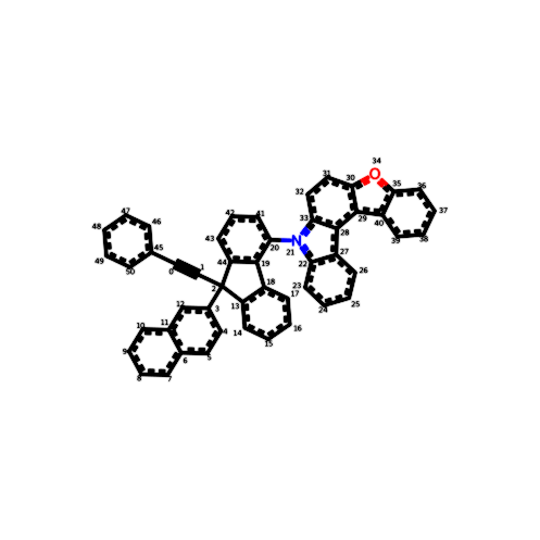 C(#CC1(c2ccc3ccccc3c2)c2ccccc2-c2c(-n3c4ccccc4c4c5c(ccc43)oc3ccccc35)cccc21)c1ccccc1